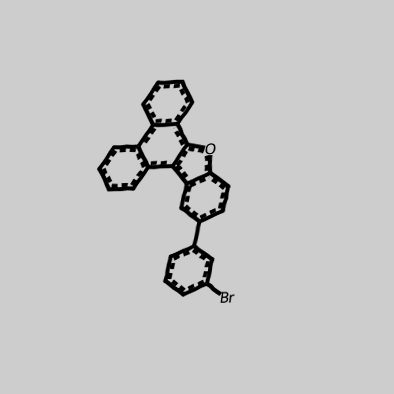 Brc1cccc(-c2ccc3oc4c5ccccc5c5ccccc5c4c3c2)c1